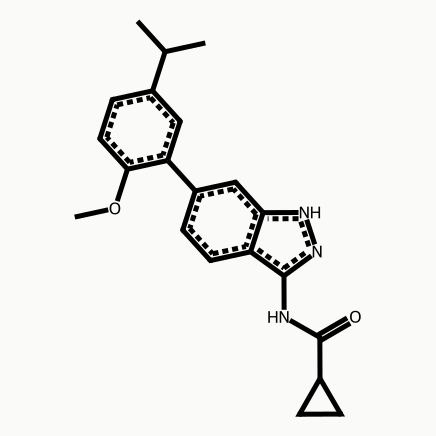 COc1ccc(C(C)C)cc1-c1ccc2c(NC(=O)C3CC3)n[nH]c2c1